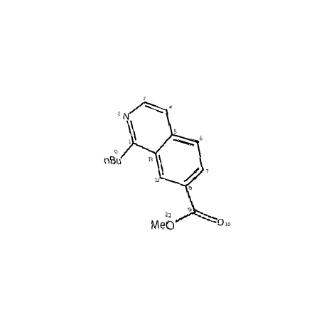 CCCCc1nccc2ccc(C(=O)OC)cc12